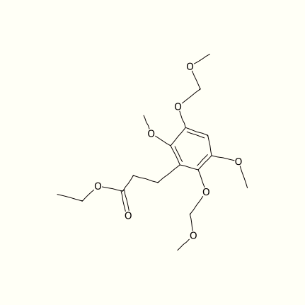 CCOC(=O)CCc1c(OC)c(OCOC)cc(OC)c1OCOC